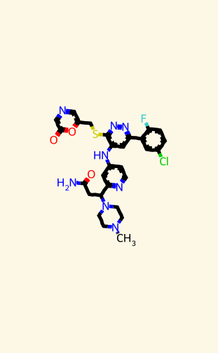 CN1CCN(C(CC(N)=O)c2cc(Nc3cc(-c4cc(Cl)ccc4F)nnc3SCc3cncc(=O)o3)ccn2)CC1